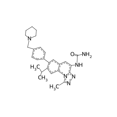 Cc1nnc2c(NC(N)=O)cc3cc(-c4ccc(CN5CCCCC5)cc4)c(C(C)C)cc3n12